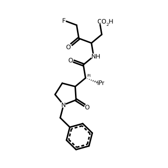 CC(C)[C@@H](C(=O)NC(CC(=O)O)C(=O)CF)C1CCN(Cc2ccccc2)C1=O